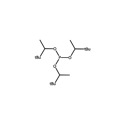 CC(OP(OC(C)C(C)(C)C)OC(C)C(C)(C)C)C(C)(C)C